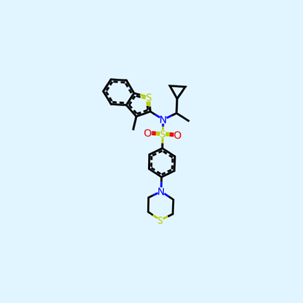 Cc1c(N(C(C)C2CC2)S(=O)(=O)c2ccc(N3CCSCC3)cc2)sc2ccccc12